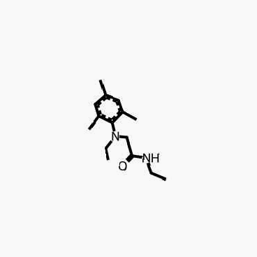 CCNC(=O)CN(CC)c1c(C)cc(C)cc1C